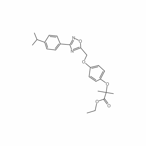 CCOC(=O)C(C)(C)Oc1ccc(OCc2nc(-c3ccc(C(C)C)cc3)no2)cc1